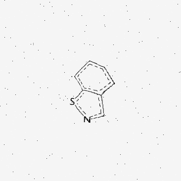 [c]1cccc2cnsc12